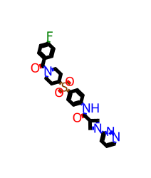 O=C(Nc1ccc(S(=O)(=O)C2CCN(C(=O)c3ccc(F)cc3)CC2)cc1)C1CN(c2cccnn2)C1